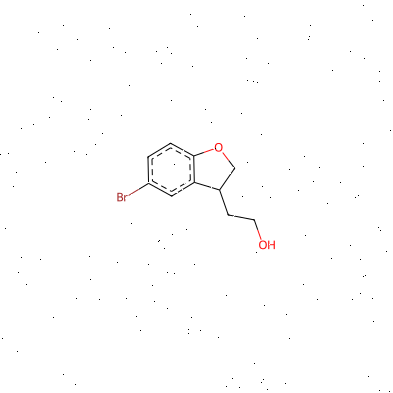 OCCC1COc2ccc(Br)cc21